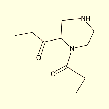 CCC(=O)C1CNCCN1C(=O)CC